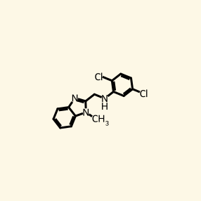 Cn1c(CNc2cc(Cl)ccc2Cl)nc2ccccc21